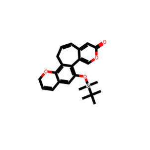 CC(C)(C)[Si](C)(C)Oc1cc2c(c3c1-c1coc(=O)cc1C=CC3)OCC=C2